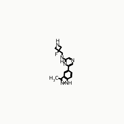 Cc1n[nH]c2ccc(-c3cncc(NCC4(F)CNC4)n3)cc12